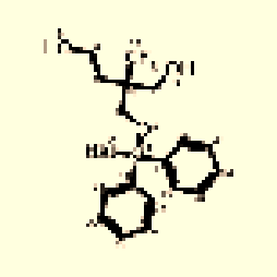 CC(C)(C)[Si](OCC(CO)(CCO)C(F)(F)F)(c1ccccc1)c1ccccc1